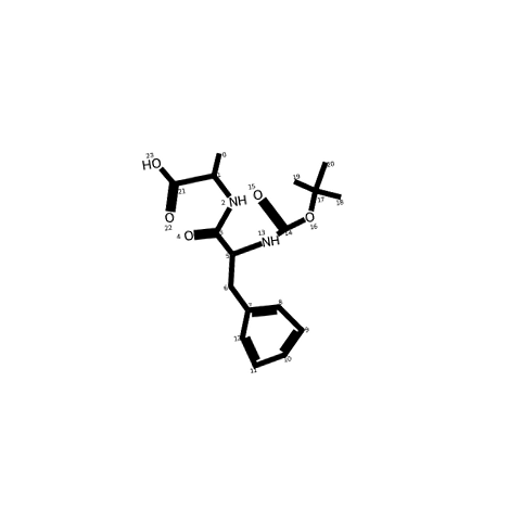 CC(NC(=O)C(Cc1ccccc1)NC(=O)OC(C)(C)C)C(=O)O